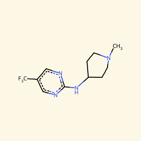 CN1CCC(Nc2ncc(C(F)(F)F)cn2)CC1